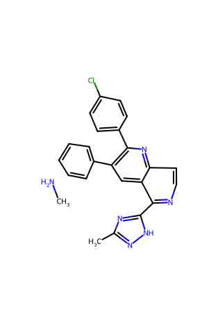 CN.Cc1n[nH]c(-c2nccc3nc(-c4ccc(Cl)cc4)c(-c4ccccc4)cc23)n1